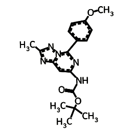 COc1ccc(-c2nc(NC(=O)OC(C)(C)C)cc3nc(C)nn23)cc1